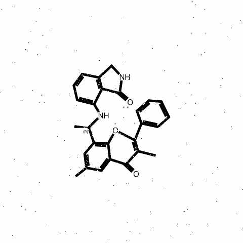 Cc1cc([C@@H](C)Nc2cccc3c2C(=O)NC3)c2oc(-c3ccccc3)c(C)c(=O)c2c1